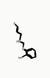 FC=CCNCOc1ccccc1S